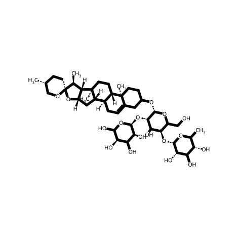 CC1O[C@@H](O[C@@H]2C(CO)O[C@@H](OC3CC[C@@]4(C)C(=CC[C@H]5[C@@H]6C[C@@H]7O[C@]8(CC[C@@H](C)CO8)[C@@H](C)[C@@H]7[C@@]6(C)CC[C@@H]54)C3)[C@@H](O[C@@H]3OC(O)[C@H](O)C(O)[C@@H]3O)C2O)[C@@H](O)C(O)[C@H]1O